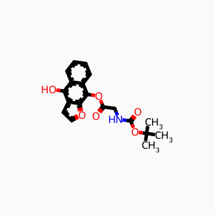 CC(C)(C)OC(=O)NCC(=O)Oc1c2ccccc2c(O)c2ccoc12